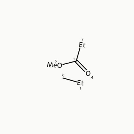 CCC.CCC(=O)OC